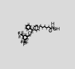 O=C(CCCCCN1CCN(C(COCc2cc(C(F)(F)F)cc(C(F)(F)F)c2)c2ccccc2)CC1)NO